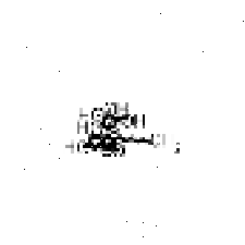 C=CCCCCCc1c([C@@H]2O[C@H](CO)[C@H](O)[C@H](O)[C@H]2O)c2ccc(O)cc2oc1=O